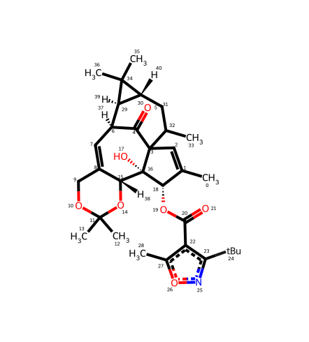 CC1=CC23C(=O)[C@@H](C=C4COC(C)(C)O[C@H]4[C@]2(O)[C@H]1OC(=O)c1c(C(C)(C)C)noc1C)[C@@H]1[C@@H](CC3C)C1(C)C